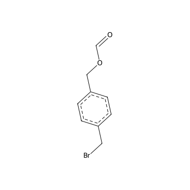 O=COCc1ccc(CBr)cc1